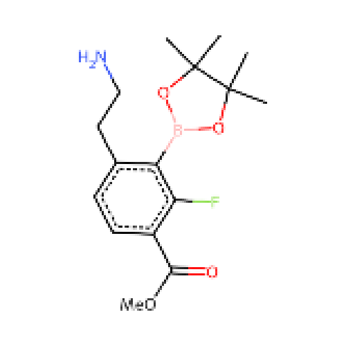 COC(=O)c1ccc(CCN)c(B2OC(C)(C)C(C)(C)O2)c1F